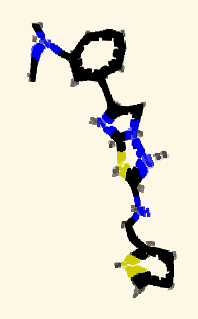 CN(C)c1cccc(-c2cn3nc(NCc4cccs4)sc3n2)c1